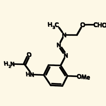 COc1ccc(NC(N)=O)cc1/N=N/N(C)COC=O